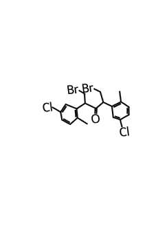 Cc1ccc(Cl)cc1C(CBr)C(=O)C(CBr)c1cc(Cl)ccc1C